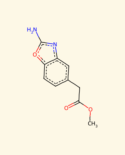 COC(=O)Cc1ccc2oc(N)nc2c1